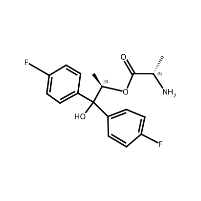 C[C@H](N)C(=O)O[C@H](C)C(O)(c1ccc(F)cc1)c1ccc(F)cc1